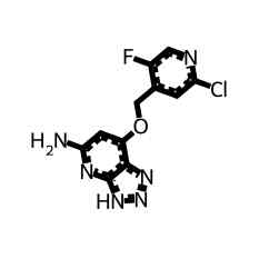 Nc1cc(OCc2cc(Cl)ncc2F)c2nn[nH]c2n1